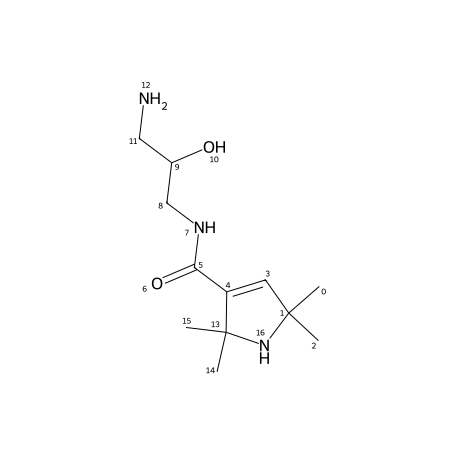 CC1(C)C=C(C(=O)NCC(O)CN)C(C)(C)N1